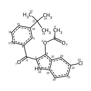 CC(=O)Oc1c(C(=O)c2cc(C(C)(C)C)ccn2)[nH]c2ccc(Cl)cc12